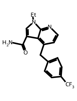 CCn1cc(C(N)=O)c2c(Cc3ccc(C(F)(F)F)cc3)ccnc21